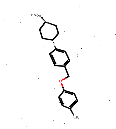 CCCCCCCCC[C@H]1CC[C@H](c2ccc(COc3ccc(C(F)(F)F)cc3)cc2)CC1